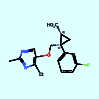 CCc1nc(C)ncc1OC[C@@]1(c2cccc(F)c2)C[C@H]1C(=O)O